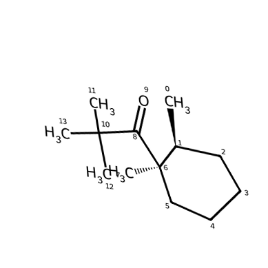 C[C@H]1CCCC[C@@]1(C)C(=O)C(C)(C)C